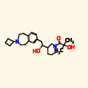 CC(C)(O)C(=O)N1CCCC(C(O)Cc2ccc3c(c2)CCN(C2CCC2)CC3)C1